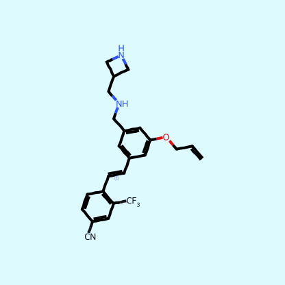 C=CCOc1cc(/C=C/c2ccc(C#N)cc2C(F)(F)F)cc(CNCC2CNC2)c1